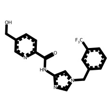 O=C(Nc1cn(Cc2cccc(C(F)(F)F)c2)cn1)c1ccc(CO)cn1